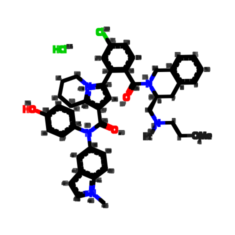 CCN(CCOC)C[C@@H]1Cc2ccccc2CN1C(=O)c1ccc(Cl)cc1-c1cc(C(=O)N(c2ccc(O)cc2)c2ccc3c(ccn3C)c2)c2n1CCCC2.Cl